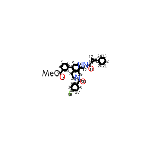 COC(=O)c1cccc(-c2ccc(CNC(=O)[C@H]3C[C@H]3c3ccccc3)c3c2CCN(C(=O)c2ccc(F)cc2)C3)c1